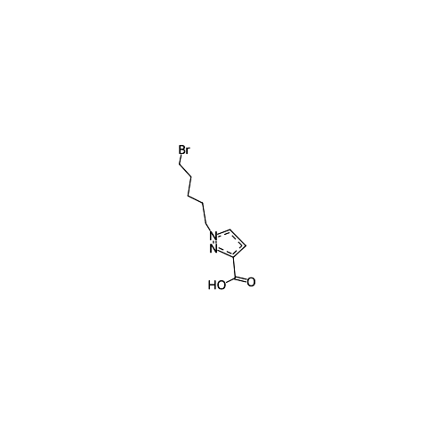 O=C(O)c1ccn(CCCCCBr)n1